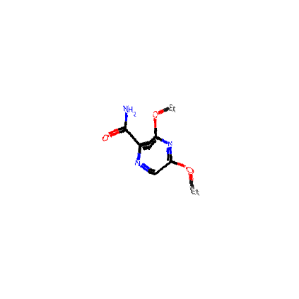 CCOc1cnc(C(N)=O)c(OCC)n1